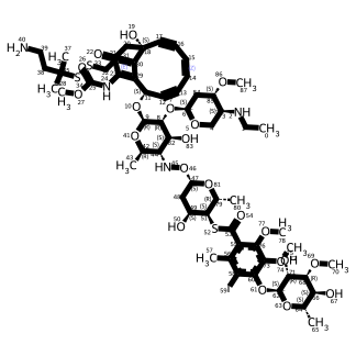 CCN[C@H]1CO[C@@H](O[C@H]2[C@H](O[C@H]3C#C/C=C\C#C[C@]4(O)CC(=O)C(NC(=O)OC)=C3/C4=C\CSSC(C)(C)CCN)O[C@H](C)[C@@H](NO[C@H]3C[C@H](O)[C@H](SC(=O)c4c(C)c(I)c(O[C@@H]5O[C@@H](C)[C@H](O)[C@@H](OC)[C@H]5O)c(OC)c4OC)[C@@H](C)O3)[C@@H]2O)C[C@@H]1OC